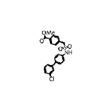 COC(=O)c1ccc(CS(=O)(=O)Nc2ccc(-c3cccc(Cl)c3)cc2)cc1